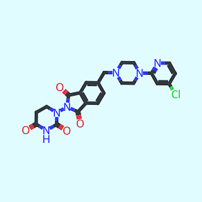 O=C1CCN(N2C(=O)c3ccc(CN4CCN(c5cc(Cl)ccn5)CC4)cc3C2=O)C(=O)N1